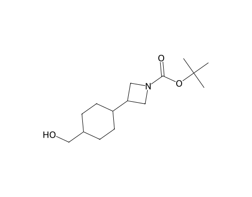 CC(C)(C)OC(=O)N1CC(C2CCC(CO)CC2)C1